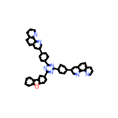 c1cnc2c(c1)ccc1cc(-c3ccc(-c4nc(-c5ccc(-c6cnc7c(ccc8cccnc87)c6)cc5)nc(-c5ccc6oc7ccccc7c6c5)n4)cc3)cnc12